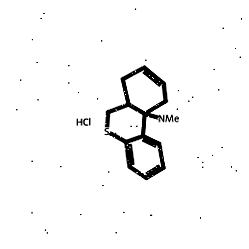 CNC12CC=CCC1CSc1ccccc12.Cl